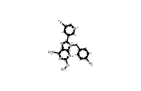 CCOc1nc(N)c2nc(-c3cncc(F)c3)n(Cc3ccc(C(C)=O)cc3)c2n1